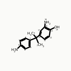 CC(C)(c1ccc(N)cc1)c1ccc(O)c(N)c1